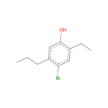 CCCc1cc(O)c(CC)cc1Br